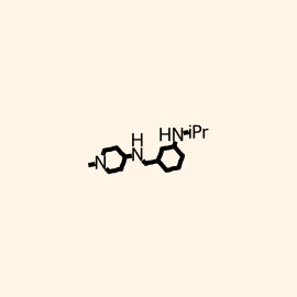 CC(C)NC1CCCC(CNC2CCN(C)CC2)C1